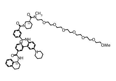 COCCOCCOCCOCCOCCOCCOCCN(C)C(=O)[C@H]1CCCN(C(=O)c2cccc(C(=O)Nc3ccc(N4CCCCC4)cc3-c3cc(C(=O)N[C@H]4CCCc5ccccc54)ccn3)c2)C1